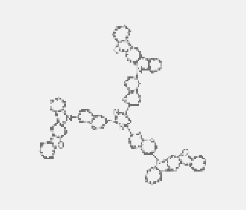 c1ccc2c(c1)oc1cc3c(cc12)c1ccccc1n3-c1ccc2cc(-c3cc(-c4ccc5cc(-n6c7ccccc7c7cc8c(cc76)oc6ccccc68)ccc5c4)nc(-c4ccc5cc(-n6c7ccccc7c7cc8c(cc76)oc6ccccc68)ccc5c4)n3)ccc2c1